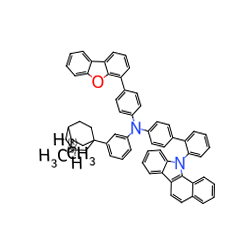 C[C@H]1CC2CCC(c3cccc(N(c4ccc(-c5ccccc5-n5c6ccccc6c6ccc7ccccc7c65)cc4)c4ccc(-c5cccc6c5oc5ccccc56)cc4)c3)(C1)C[C@H]2C